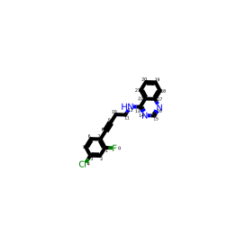 Fc1cc(Cl)ccc1C#CCCNc1ncnc2ccccc12